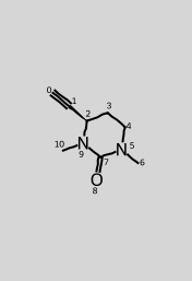 C#C[C@H]1CCN(C)C(=O)N1C